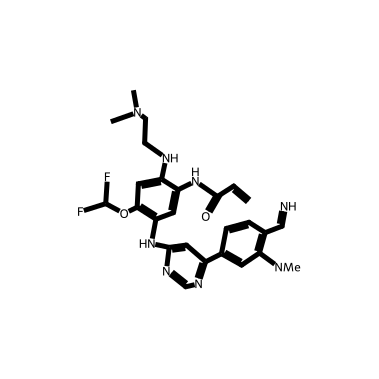 C=CC(=O)Nc1cc(Nc2cc(-c3ccc(C=N)c(NC)c3)ncn2)c(OC(F)F)cc1NCCN(C)C